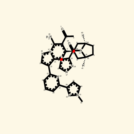 CC(=O)c1c([C@H]2C[C@H]3CC[C@@H](C2)N3C(=O)c2nnc[nH]2)nc2c(-c3cccc(-c4ccn(C)n4)n3)cnn2c1N